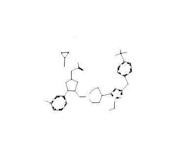 CCn1nc(Cc2ccc(C(F)(F)F)cc2)cc1C1CCN(CC2CC([C@H](CC3CC3)C(=O)O)CC2c2cccc(F)c2)CC1.Cl.Cl